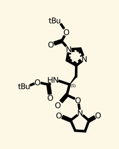 CC(C)(C)OC(=O)N[C@@H](Cc1cn(C(=O)OC(C)(C)C)cn1)C(=O)ON1C(=O)CCC1=O